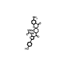 CNC(=O)Nc1sc(-c2ccc(O)cc2)cc1C(=O)N1CCC2(CC1)CC(=O)c1cc(N)ccc1O2